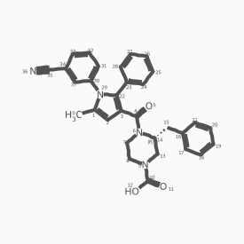 Cc1cc(C(=O)N2CCN(C(=O)O)C[C@H]2Cc2ccccc2)c(-c2ccccc2)n1-c1cccc(C#N)c1